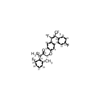 C[C@@H](Oc1ccc(C(F)=C(c2ccc(F)cc2)C(F)(F)F)cc1)C(=O)N(C)c1ccccc1F